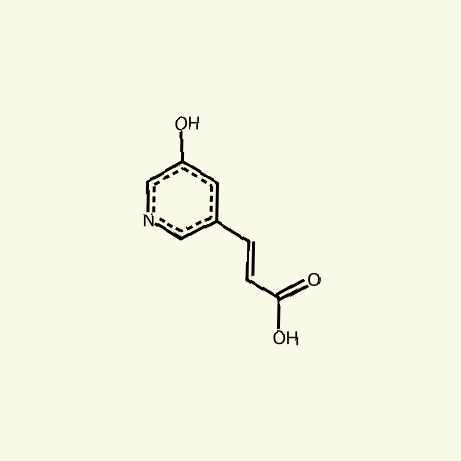 O=C(O)C=Cc1cncc(O)c1